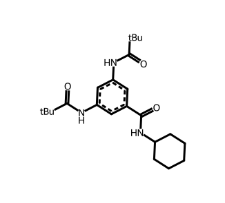 CC(C)(C)C(=O)Nc1cc(NC(=O)C(C)(C)C)cc(C(=O)NC2CCCCC2)c1